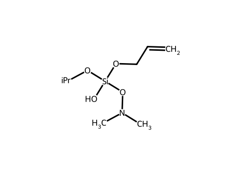 C=CCO[Si](O)(OC(C)C)ON(C)C